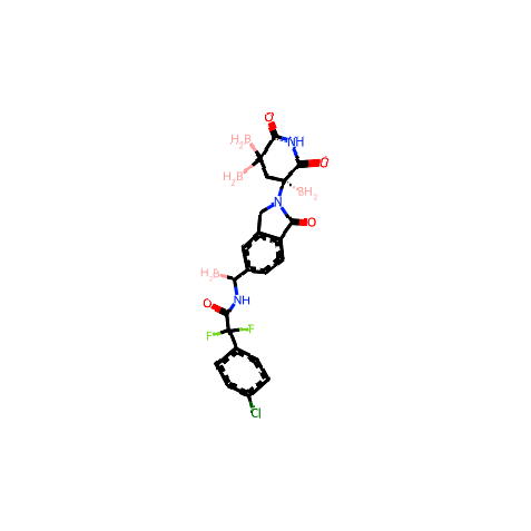 BC(NC(=O)C(F)(F)c1ccc(Cl)cc1)c1ccc2c(c1)CN([C@@]1(B)CC(B)(B)C(=O)NC1=O)C2=O